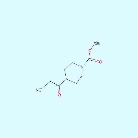 CC(C)(C)OC(=O)N1CCC(C(=O)CC#N)CC1